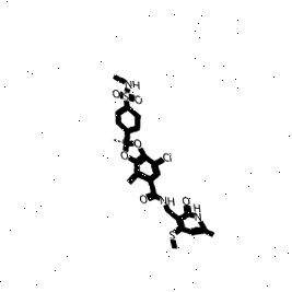 CNS(=O)(=O)C1CCC([C@@]2(C)Oc3c(Cl)cc(C(=O)NCc4c(SC)cc(C)[nH]c4=O)c(C)c3O2)CC1